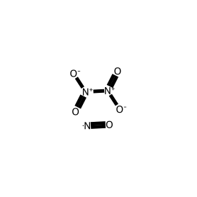 O=[N+]([O-])[N+](=O)[O-].[N]=O